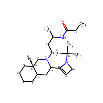 CCC(=O)NC(C)CCN1C[C@H]2CCCCC2CC1C1=CCN1C(C)(C)C